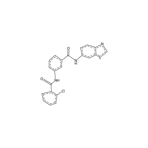 O=C(Nc1ccc2ncsc2c1)c1cccc(NC(=O)c2ccccc2Cl)c1